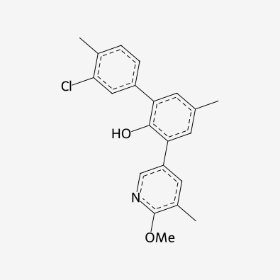 COc1ncc(-c2cc(C)cc(-c3ccc(C)c(Cl)c3)c2O)cc1C